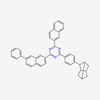 c1ccc(-c2ccc3ccc(-c4nc(-c5ccc(C6C7CC8CC7CC86)cc5)nc(-c5ccc6ccccc6c5)n4)cc3c2)cc1